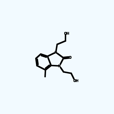 Cc1cccc2c1n(CCO)c(=O)n2CCO